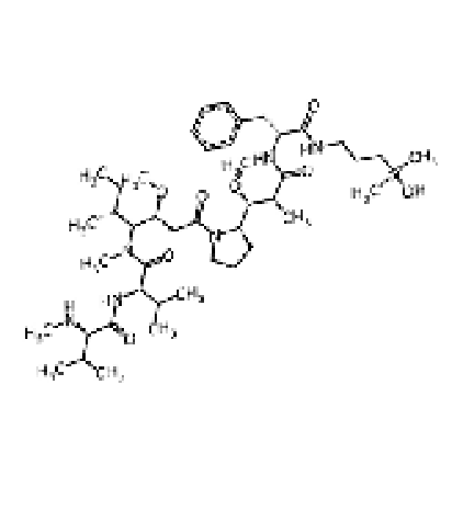 CC[C@@H](C)C([C@H](CC(=O)N1CCC[C@@H]1[C@@H](OC)[C@H](C)C(=O)N[C@H](Cc1ccccc1)C(=O)NCCC[Si](C)(C)O)OC)N(C)C(=O)[C@H](NC(=O)[C@H](NC)C(C)C)C(C)C